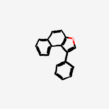 c1ccc(-c2coc3ccc4ccccc4c23)cc1